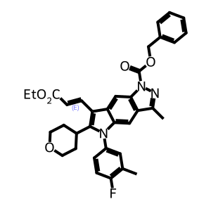 CCOC(=O)/C=C/c1c(C2CCOCC2)n(-c2ccc(F)c(C)c2)c2cc3c(C)nn(C(=O)OCc4ccccc4)c3cc12